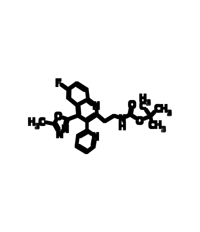 Cc1nnc(-c2c(-c3ccccn3)c(CCNC(=O)OC(C)(C)C)nc3ccc(F)cc23)o1